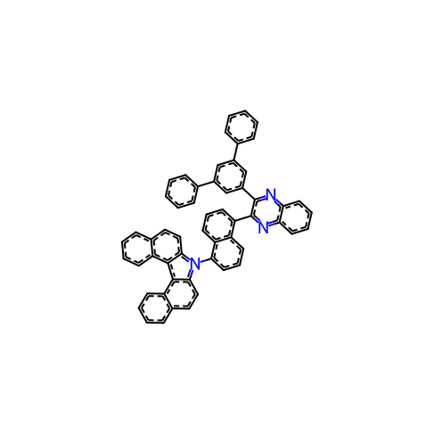 c1ccc(-c2cc(-c3ccccc3)cc(-c3nc4ccccc4nc3-c3cccc4c(-n5c6ccc7ccccc7c6c6c7ccccc7ccc65)cccc34)c2)cc1